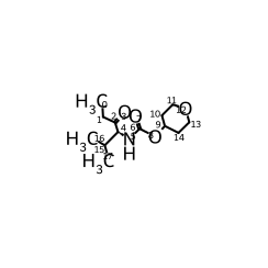 CCC(=O)[C@@H](NC(=O)OC1CCOCC1)C(C)C